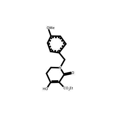 CCOC(=O)C1=C(O)CCN(Cc2ccc(OC)cc2)C1=O